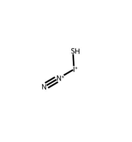 N#[N+][I+]S